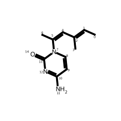 C/C=C(C)/C=C(/C)n1ccc(N)nc1=O